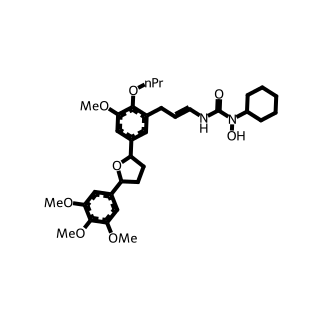 CCCOc1c(CC=CNC(=O)N(O)C2CCCCC2)cc(C2CCC(c3cc(OC)c(OC)c(OC)c3)O2)cc1OC